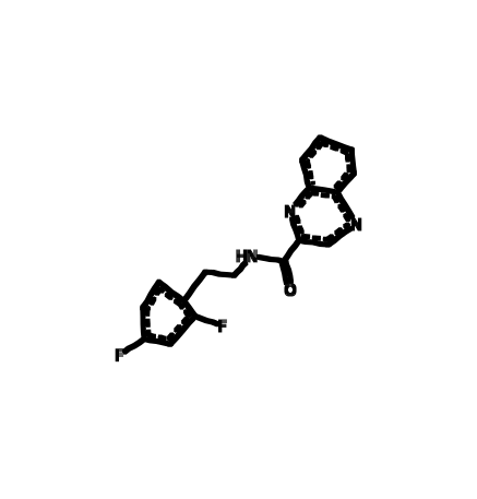 O=C(NCCc1ccc(F)cc1F)c1cnc2ccccc2n1